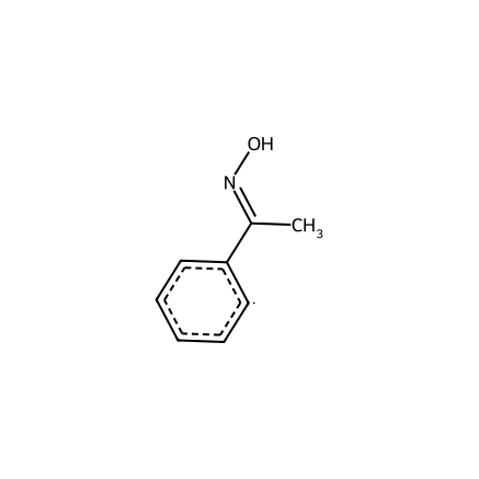 CC(=NO)c1[c]cccc1